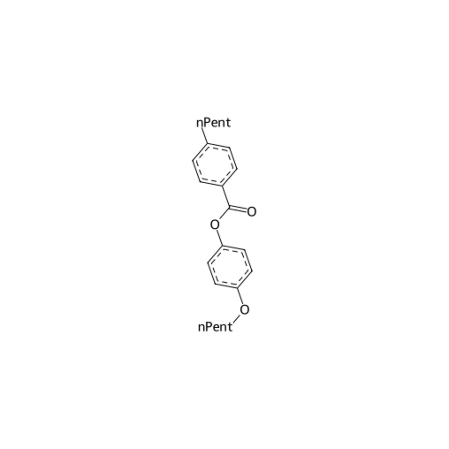 CCCCCOc1ccc(OC(=O)c2ccc(CCCCC)cc2)cc1